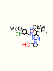 C=C(C(=O)OC)c1cnc(N2CCCC2CO)nc1NCc1ccc(OC)c(Cl)c1